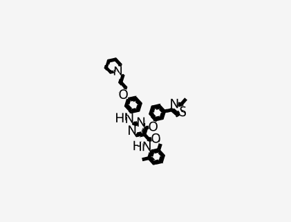 Cc1nc(-c2cccc(Oc3nc(Nc4cccc(OCCCN5CCCCC5)c4)ncc3C(=O)Nc3c(C)cccc3C)c2)cs1